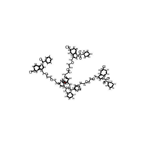 O=C(c1ccccc1)n1cc(COCCOCCn2cc(C(Cc3ccccc3)N(Cc3cn(CCOCCOCc4cn(S(=O)(=O)c5ccccc5)c5ccc(Cl)cc45)nn3)Cc3cn(CCOCCOCc4cn(S(=O)(=O)c5ccccc5)c5ccc(Cl)cc45)nn3)nn2)c2cc(Cl)ccc21